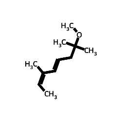 CC=C(C)C=CCC(C)(C)OC